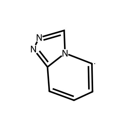 [c]1cccc2nncn12